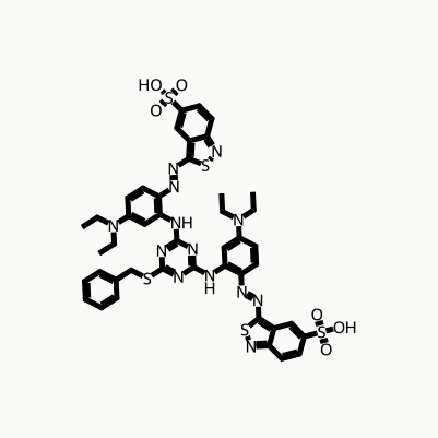 CCN(CC)c1ccc(/N=N/c2snc3ccc(S(=O)(=O)O)cc23)c(Nc2nc(Nc3cc(N(CC)CC)ccc3/N=N/c3snc4ccc(S(=O)(=O)O)cc34)nc(SCc3ccccc3)n2)c1